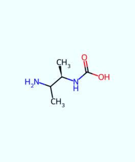 CC(N)[C@@H](C)NC(=O)O